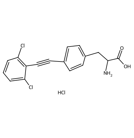 Cl.NC(Cc1ccc(C#Cc2c(Cl)cccc2Cl)cc1)C(=O)O